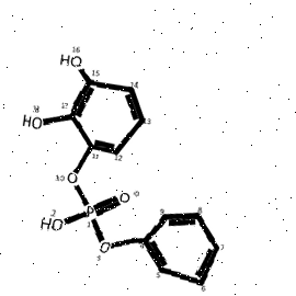 O=P(O)(Oc1ccccc1)Oc1cccc(O)c1O